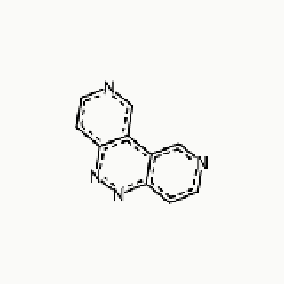 c1cc2nnc3ccncc3c2cn1